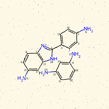 Nc1ccc(-c2nc3ccc(N)cc3[nH]2)cc1.Nc1cccc(N)c1